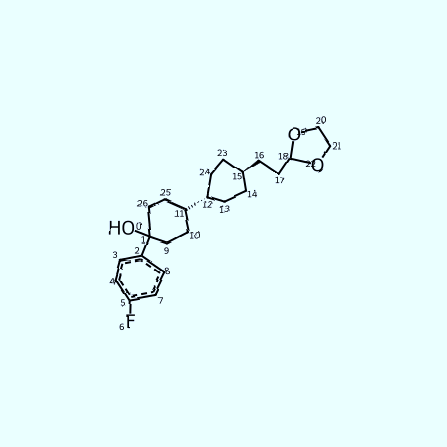 OC1(c2ccc(F)cc2)CCC([C@H]2CC[C@H](CCC3OCCO3)CC2)CC1